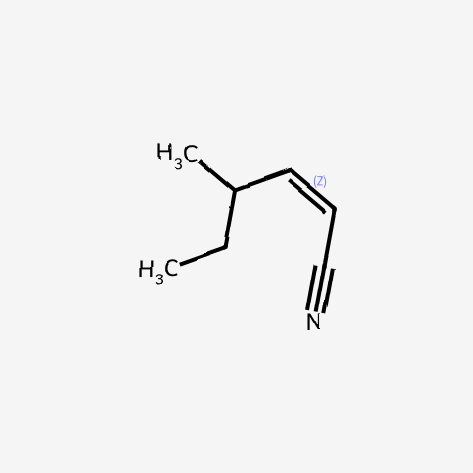 CCC(C)/C=C\C#N